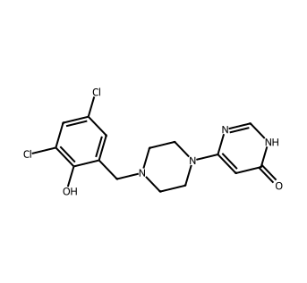 O=c1cc(N2CCN(Cc3cc(Cl)cc(Cl)c3O)CC2)nc[nH]1